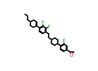 CCCC1CC=C(c2ccc(CCC3CCC(c4ccc(C5CO5)cc4F)CC3)c(F)c2F)CC1